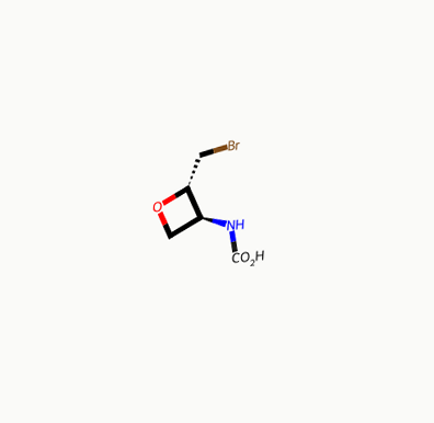 O=C(O)N[C@H]1CO[C@@H]1CBr